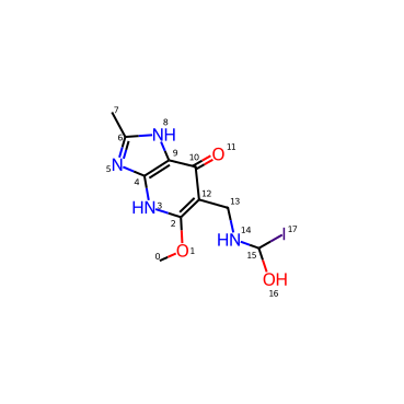 COc1[nH]c2nc(C)[nH]c2c(=O)c1CNC(O)I